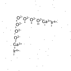 [Ga+3].[Ga+3].[Ir+4].[Ir+4].[O-2].[O-2].[O-2].[O-2].[O-2].[O-2].[O-2]